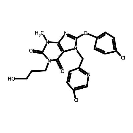 Cn1c(=O)n(CCCO)c(=O)c2c1nc(Oc1ccc(Cl)cc1)n2Cc1ccc(Cl)cn1